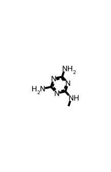 CNc1nc(N)nc(N)n1